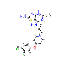 CC1=NC(N)(CCCN2CCC(Oc3ccc(Cl)c(Cl)c3)CC2)c2sc(N)nc2N1